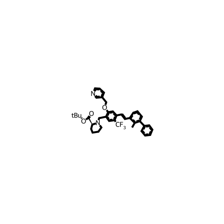 Cc1c(/C=C/c2cc(OCc3cccnc3)c(CN3CCCC[C@H]3C(=O)OC(C)(C)C)cc2C(F)(F)F)cccc1-c1ccccc1